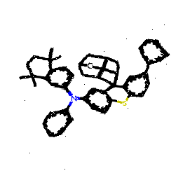 CC1(C)CCC(C)(C)c2cc(N(c3ccccc3)c3ccc4c(c3)C3(c5cc(-c6ccccc6)ccc5S4)C4CC5CC6CC3C64C5)ccc21